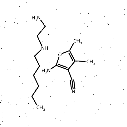 CCCCCCNCCN.Cc1oc(N)c(C#N)c1C